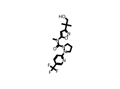 CN(C(=O)N1CCCN1c1ccc(C(F)(F)F)cn1)c1cc(C(C)(C)CO)no1